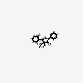 CC1(NO)C(=O)N(c2ccccc2)N=C1c1ccccc1F